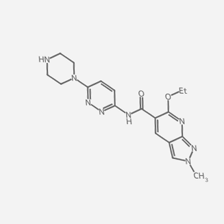 CCOc1nc2nn(C)cc2cc1C(=O)Nc1ccc(N2CCNCC2)nn1